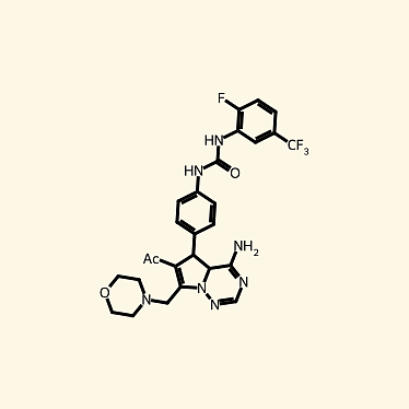 CC(=O)C1=C(CN2CCOCC2)N2N=CN=C(N)C2C1c1ccc(NC(=O)Nc2cc(C(F)(F)F)ccc2F)cc1